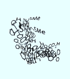 CSCC[C@H](NC(=O)[C@H](CSC(c1ccccc1)(c1ccccc1)c1ccccc1)NC(=O)[C@@H](N)CCSC)C(=O)N1CCC[C@H]1C(=O)N[C@@H](CSC(c1ccccc1)(c1ccccc1)c1ccccc1)C(=O)N[C@@H](Cc1ccccc1)C(=O)N[C@H](C(=O)N[C@H](C(=O)N[C@@H](CC(=O)OC(C)(C)C)C(=O)N[C@@H](Cc1cn(C(c2ccccc2)(c2ccccc2)c2ccccc2)cn1)C(=O)O)[C@@H](C)OC(C)(C)C)[C@@H](C)OC(C)(C)C